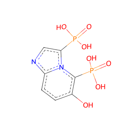 O=P(O)(O)c1cnc2ccc(O)c(P(=O)(O)O)n12